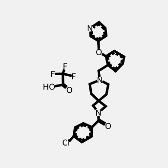 O=C(O)C(F)(F)F.O=C(c1ccc(Cl)cc1)N1CC2(CCN(Cc3ccccc3Oc3cccnc3)CC2)C1